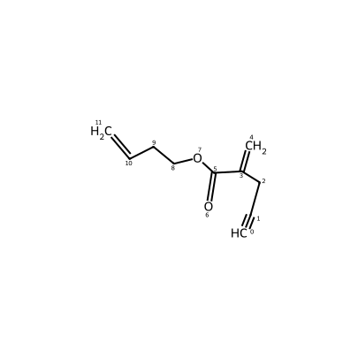 C#CCC(=C)C(=O)OCCC=C